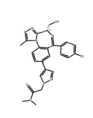 Cc1nnc2n1-c1ccc(-c3cnn(CC(=O)N(C)C)c3)cc1C(c1ccc(Cl)cc1)=N[C@H]2CO